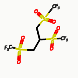 O=S(=O)(CC(CS(=O)(=O)C(F)(F)F)S(=O)(=O)C(F)(F)F)C(F)(F)F